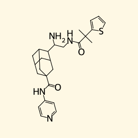 CC(C)(C(=O)NCC(N)C1C2CC3CC1CC(C(=O)Nc1ccncc1)(C3)C2)c1cccs1